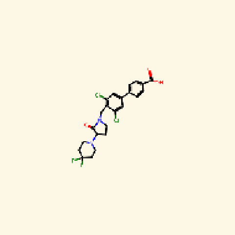 O=C(O)c1ccc(-c2cc(Cl)c(CN3CCC(N4CCC(F)(F)CC4)C3=O)c(Cl)c2)cc1